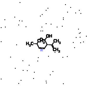 C=C(C)C(/C=C\C(C)C)C(=O)O